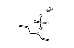 C=CCOC=C.O=S(=O)([O-])[O-].[Na+].[Na+]